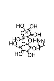 OC[C@H]1O[C@H](O[C@H]2[C@H](O)[C@@H](O)[C@H](O)O[C@@H]2CO)[C@H](O)[C@@H](O)[C@@H]1O.c1cn[nH]c1